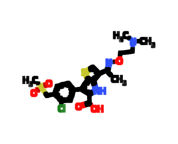 C/C(=N\OCCN(C)C)c1csc2c(-c3ccc(CS(C)(=O)=O)c(Cl)c3)c(C(=O)O)[nH]c12